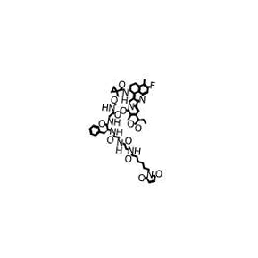 CC[C@H]1C(=O)OCc2c1cc1n(c2=O)Cc2c-1nc1cc(F)c(C)c3c1c2[C@@H](NC(=O)C1(COCNC(=O)CNC(=O)[C@H](Cc2ccccc2)NC(=O)CNC(=O)CNC(=O)CCCCCN2C(=O)C=CC2=O)CC1)CC3